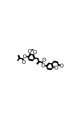 C=C(C)C(=O)Oc1ccc(CC(=C)C(=O)Oc2ccc3oc(=O)ccc3c2)c2c1OCO2